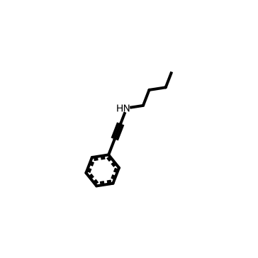 CCCCNC#Cc1ccccc1